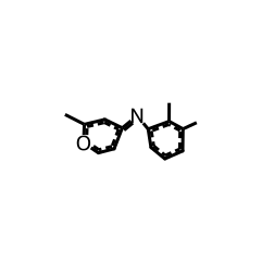 Cc1cc(=Nc2cccc(C)c2C)cco1